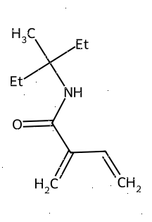 C=CC(=C)C(=O)NC(C)(CC)CC